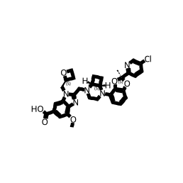 COc1cc(C(=O)O)cc2c1nc(CN1CCN(c3cccc4c3O[C@@](C)(c3ccc(Cl)cn3)O4)[C@H]3CC[C@H]31)n2C[C@@H]1CCO1